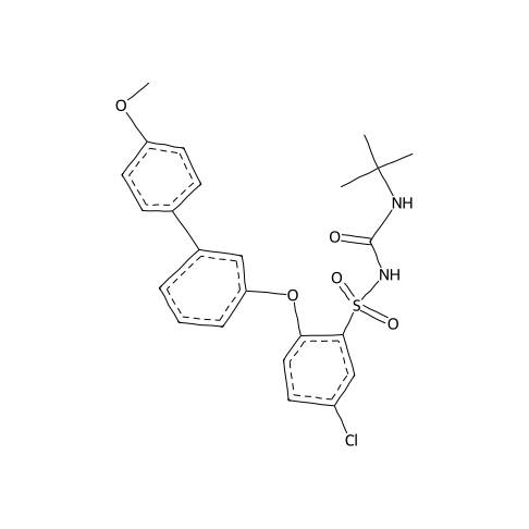 COc1ccc(-c2cccc(Oc3ccc(Cl)cc3S(=O)(=O)NC(=O)NC(C)(C)C)c2)cc1